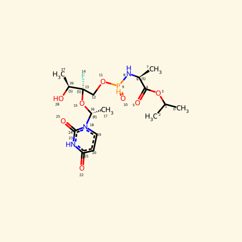 CC(C)OC(=O)[C@H](C)N[PH](=O)OC[C@@](F)(O[C@H](C)n1ccc(=O)[nH]c1=O)[C@H](C)O